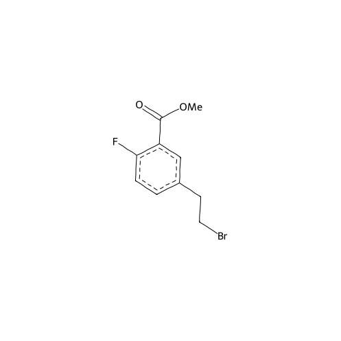 COC(=O)c1cc(CCBr)ccc1F